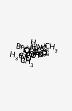 CC[C@@H](Nc1c(Nc2cc(Br)cc(C(=O)N(C)C)c2O)c(=O)c1=O)c1cccs1